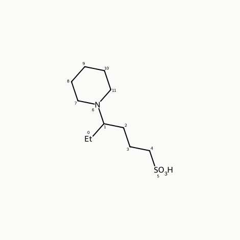 CCC(CCCS(=O)(=O)O)N1CCCCC1